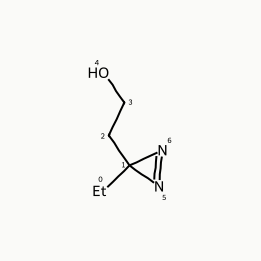 CCC1(CCO)N=N1